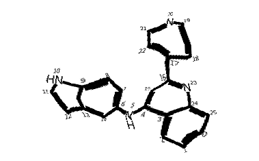 c1ccc2c(Nc3ccc4[nH]ccc4c3)cc(-c3ccncc3)nc2c1